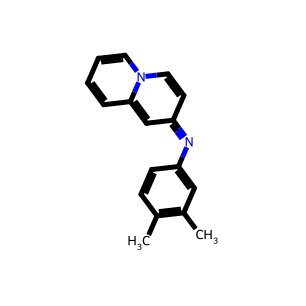 Cc1ccc(N=c2ccn3ccccc3c2)cc1C